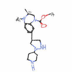 CC(=O)N1c2ccc(C3CNN(C4CCNCC4)C3)cc2N(C(=O)OC(C)C)C[C@@H]1C